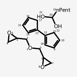 C(OCC1CO1)C1CO1.C1=CCC(C2=CC=CC2)=C1.CCCCCC(O)O